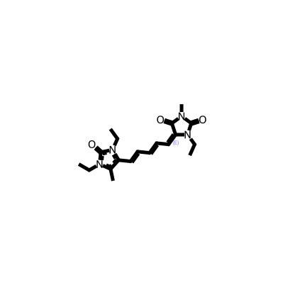 CCN1C(=O)N(C)C(=O)/C1=C\C=CC=Cc1c(C)n(CC)c(=O)n1CC